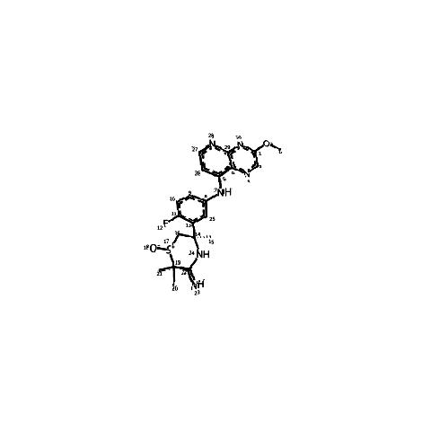 COc1cnc2c(Nc3ccc(F)c([C@]4(C)C[S+]([O-])C(C)(C)C(=N)N4)c3)ccnc2n1